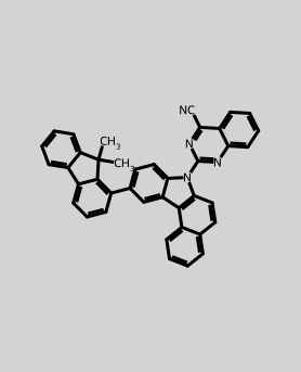 CC1(C)c2ccccc2-c2cccc(-c3ccc4c(c3)c3c5ccccc5ccc3n4-c3nc(C#N)c4ccccc4n3)c21